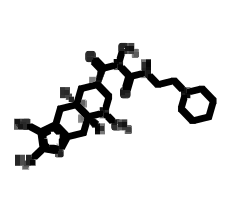 CN(C(=O)NCCN1CCCCC1)C(=O)[C@@H]1C[C@@H]2Cc3c(sc(N)c3C#N)C[C@H]2N(C)C1